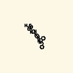 COC(=O)c1cnc(N2CCN(C3=NN=C(Cc4ccccc4)C4=CC=CCC43)CC2)cn1